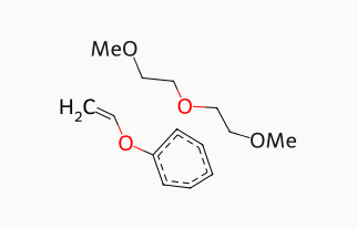 C=COc1ccccc1.COCCOCCOC